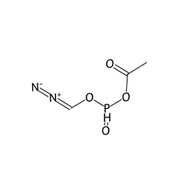 CC(=O)O[PH](=O)OC=[N+]=[N-]